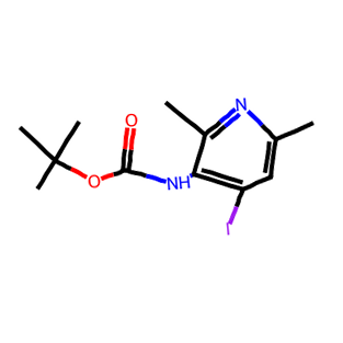 Cc1cc(I)c(NC(=O)OC(C)(C)C)c(C)n1